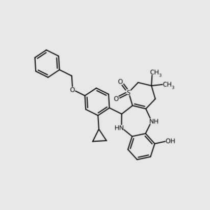 CC1(C)CC2=C(C(c3ccc(OCc4ccccc4)cc3C3CC3)Nc3cccc(O)c3N2)S(=O)(=O)C1